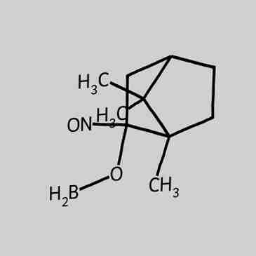 BOC1(N=O)CC2CCC1(C)C2(C)C